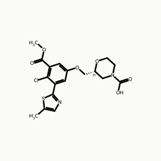 COC(=O)c1cc(OC[C@H]2CN(C(=O)O)CCO2)cc(-c2ncc(C)s2)c1Cl